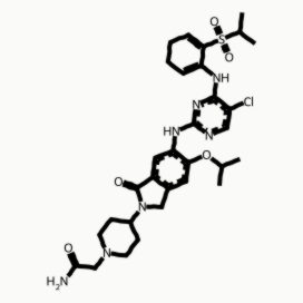 CC(C)Oc1cc2c(cc1Nc1ncc(Cl)c(NC3=CCCC=C3S(=O)(=O)C(C)C)n1)C(=O)N(C1CCN(CC(N)=O)CC1)C2